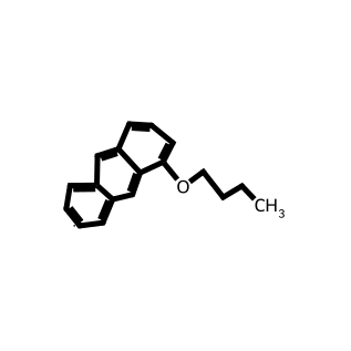 CCCCOc1cccc2cc3cc[c]cc3cc12